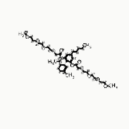 C=C(C)[C@@H]1CCC(C)=C[C@H]1c1c(OC(=O)COCCOCCOCCOC)cc(CCCCC)cc1OC(=O)COCCOCCOCCOC